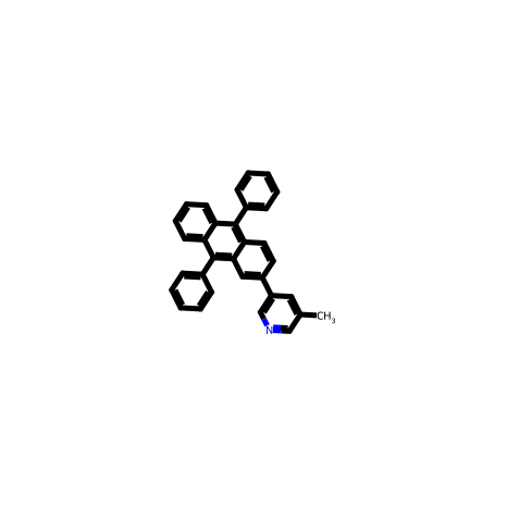 Cc1cncc(-c2ccc3c(-c4ccccc4)c4ccccc4c(-c4ccccc4)c3c2)c1